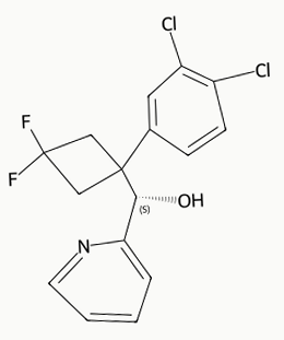 O[C@H](c1ccccn1)C1(c2ccc(Cl)c(Cl)c2)CC(F)(F)C1